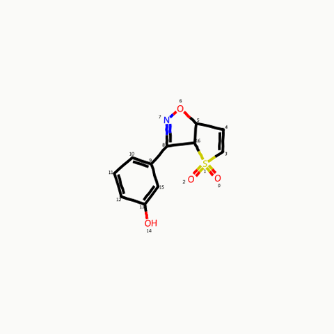 O=S1(=O)C=CC2ON=C(c3cccc(O)c3)C21